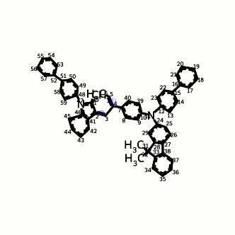 C=c1/c(=C\C(=C/C)c2ccc(N(c3ccc(-c4ccccc4)cc3)c3ccc4c(c3)C(C)(C)c3ccccc3-4)cc2)c2ccccc2n1-c1ccc(-c2ccccc2)cc1